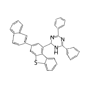 c1ccc(C2=NC(c3cc(-c4ccc5ccccc5c4)cc4sc5ccccc5c34)NC(c3ccccc3)=N2)cc1